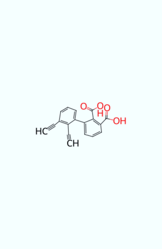 C#Cc1cccc(-c2cccc(C(=O)O)c2C(=O)O)c1C#C